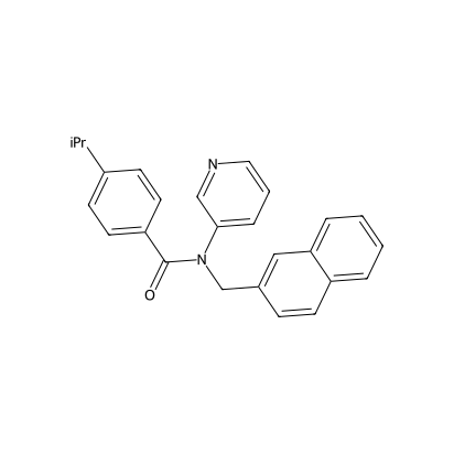 CC(C)c1ccc(C(=O)N(Cc2ccc3ccccc3c2)c2cccnc2)cc1